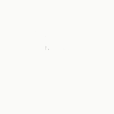 CCCSNC(=O)Cc1ccccc1